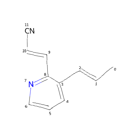 CC=Cc1cccnc1C=CC#N